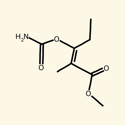 CCC(OC(N)=O)=C(C)C(=O)OC